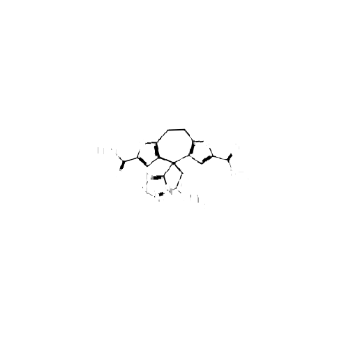 C[C@@H](N)CC1(c2nn[nH]n2)c2cc(C(N)=O)sc2CCc2sc(C(N)=O)cc21